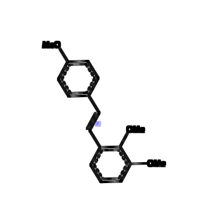 COc1ccc(/C=C/c2cccc(OC)c2OC)cc1